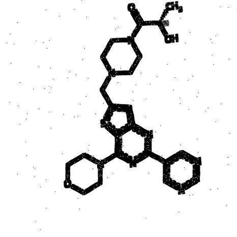 C[C@H](O)C(=O)N1CCN(Cc2cc3nc(-c4cncnc4)nc(N4CCOCC4)c3s2)CC1